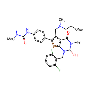 COCCN(C)Cc1c(-c2ccc(NC(=O)NOC)cc2)sc2c1C(=O)N(C(C)C)C(O)N2Cc1c(F)cccc1F